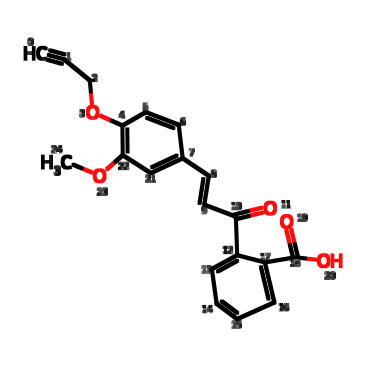 C#CCOc1ccc(/C=C/C(=O)c2ccccc2C(=O)O)cc1OC